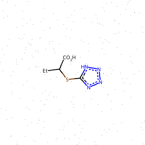 CCC(Sc1nnn[nH]1)C(=O)O